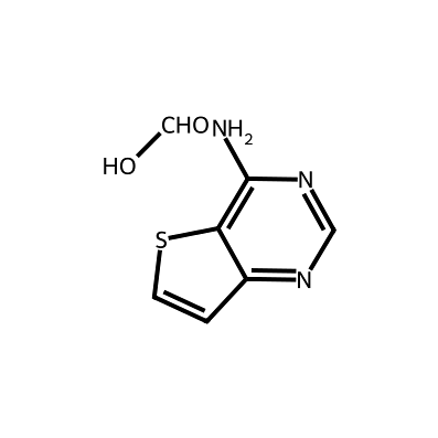 Nc1ncnc2ccsc12.O=CO